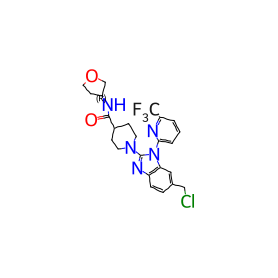 O=C(N[C@@H]1CCOC1)C1CCN(c2nc3ccc(CCl)cc3n2-c2cccc(C(F)(F)F)n2)CC1